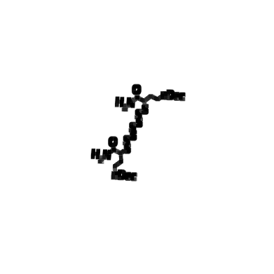 CCCCCCCCCCCCC(SSSSSSSC(CCCCCCCCCCCC)C(N)=O)C(N)=O